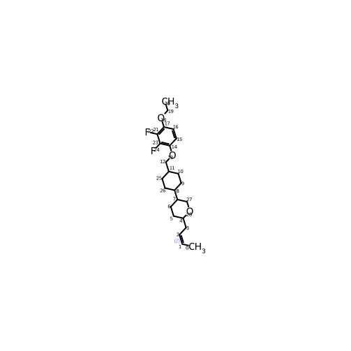 C/C=C\CC1CCC(C2CCC(COc3ccc(OCC)c(F)c3F)CC2)CO1